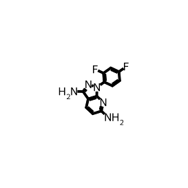 Nc1ccc2c(N)nn(-c3ccc(F)cc3F)c2n1